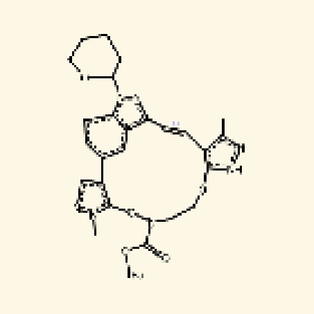 Cc1n[nH]c2c1/C=C/c1nn(C3CCCCO3)c3ccc(cc13)-c1cnn(C)c1CN(C(=O)OC(C)(C)C)CCO2